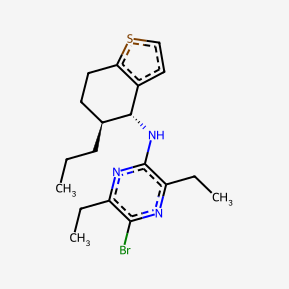 CCC[C@H]1CCc2sccc2[C@@H]1Nc1nc(CC)c(Br)nc1CC